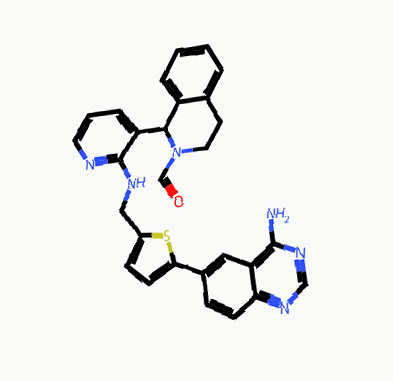 Nc1ncnc2ccc(-c3ccc(CNc4ncccc4C4c5ccccc5CCN4C=O)s3)cc12